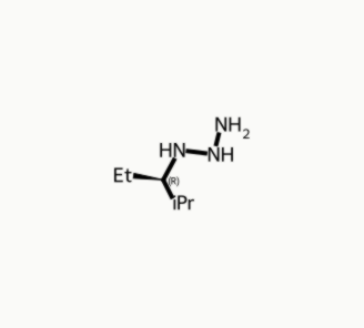 CC[C@@H](NNN)C(C)C